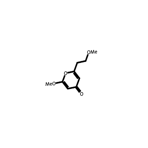 COCCc1cc(=O)cc(OC)o1